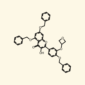 O=c1c(O)c(-c2ccc(OCc3ccccc3)c(OC3COC3)c2)oc2cc(OCc3ccccc3)cc(OCc3ccccc3)c12